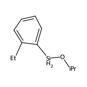 CCc1ccccc1[SiH2]OC(C)C